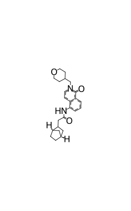 O=C(CC1C[C@@H]2CC[C@H]1C2)Nc1cccc2c(=O)n(CC3CCOCC3)ccc12